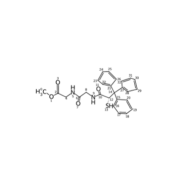 COC(=O)CNC(=O)CNC(=O)[C@@H](S)C(c1ccccc1)(c1ccccc1)c1ccccc1